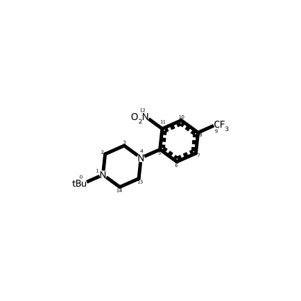 CC(C)(C)N1CCN(c2ccc(C(F)(F)F)cc2[N+](=O)[O-])CC1